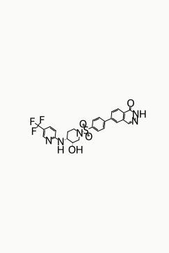 O=c1[nH]ncc2cc(-c3ccc(S(=O)(=O)N4CC[C@@H](Nc5ccc(C(F)(F)F)cn5)[C@@H](O)C4)cc3)ccc12